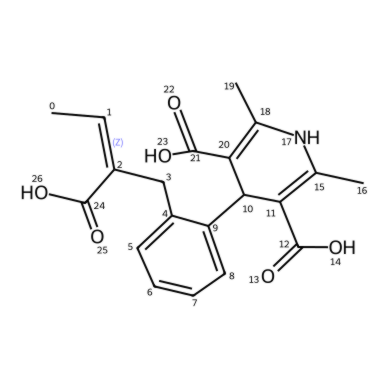 C/C=C(/Cc1ccccc1C1C(C(=O)O)=C(C)NC(C)=C1C(=O)O)C(=O)O